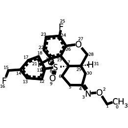 CCO/N=C1/CC[C@@]2(S(=O)(=O)c3ccc(CF)cc3)c3c(F)ccc(F)c3OC[C@H]2C1